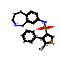 O=S(=O)(Nc1ccc2c(c1)CNCCC2)c1csc(C(F)(F)F)c1-c1ccccc1